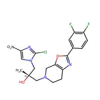 C[C@](O)(CN1CCc2nc(-c3ccc(F)c(F)c3)oc2C1)Cn1cc([N+](=O)[O-])nc1Cl